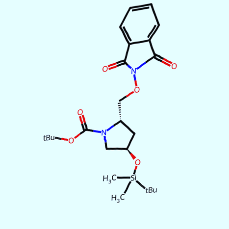 CC(C)(C)OC(=O)N1C[C@H](O[Si](C)(C)C(C)(C)C)C[C@H]1CON1C(=O)c2ccccc2C1=O